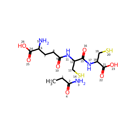 CCC(N)=O.NC(CCC(=O)NC(CS)C(=O)NC(CS)C(=O)O)C(=O)O